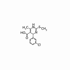 CSC1=NC(c2cccc(Cl)c2)C(C(=O)O)=C(C)N1